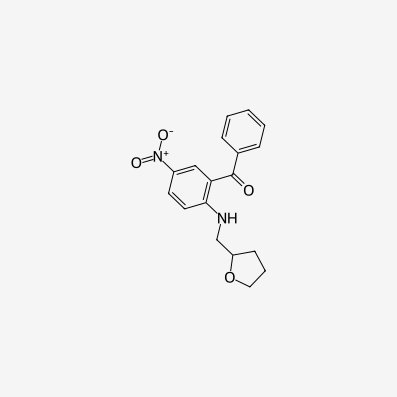 O=C(c1ccccc1)c1cc([N+](=O)[O-])ccc1NCC1CCCO1